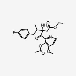 CCOC(=O)CC(N)(C(=O)c1nccc(OC)c1OC(C)=O)C(C)Cc1ccc(F)cc1